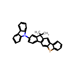 CC1(C)c2cc(-n3c4ccccc4c4ccccc43)ccc2-c2cc3sc4ccccc4c3cc21